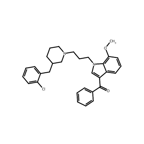 COc1cccc2c(C(=O)c3ccccc3)cn(CCCN3CCCC(Cc4ccccc4Cl)C3)c12